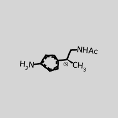 CC(=O)NC[C@@H](C)c1ccc(N)cc1